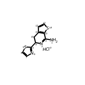 Cl.NC1=NC(c2nccs2)Cc2ccsc21